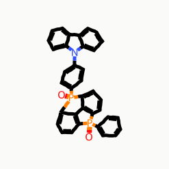 O=P1(c2ccccc2)c2cccc3c2-c2c1cccc2P3(=O)c1ccc(-n2c3ccccc3c3ccccc32)cc1